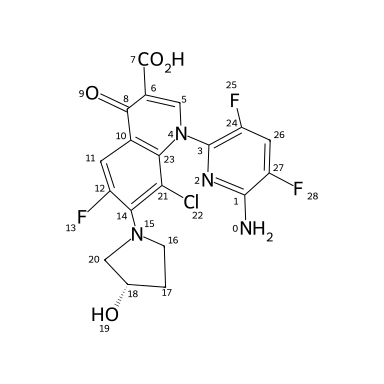 Nc1nc(-n2cc(C(=O)O)c(=O)c3cc(F)c(N4CC[C@H](O)C4)c(Cl)c32)c(F)cc1F